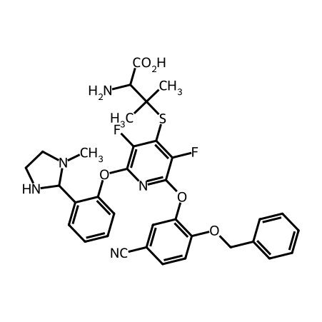 CN1CCNC1c1ccccc1Oc1nc(Oc2cc(C#N)ccc2OCc2ccccc2)c(F)c(SC(C)(C)C(N)C(=O)O)c1F